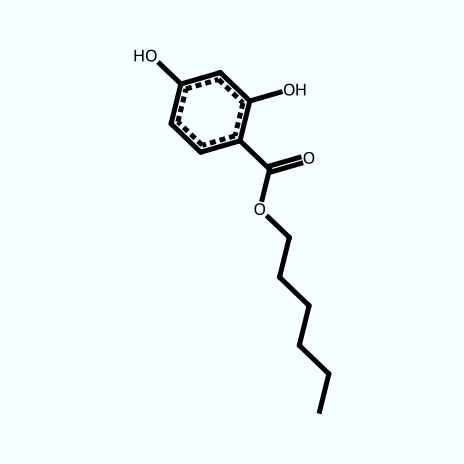 CCCCCCOC(=O)c1ccc(O)cc1O